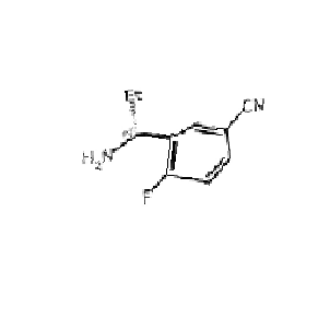 CC[C@@H](N)c1cc(C#N)ccc1F